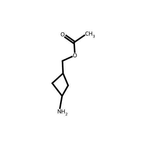 CC(=O)OCC1CC(N)C1